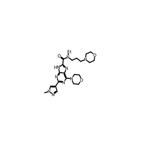 CCN(CCCN1CCOCC1)C(=O)c1nc2c(N3CCOCC3)nc(-c3cnn(C)c3)nc2[nH]1